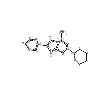 Nc1cc(N2CCCCC2)cc2nc(-c3ccccc3)nn12